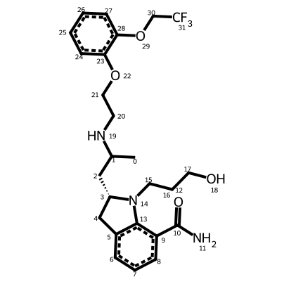 CC(C[C@H]1Cc2cccc(C(N)=O)c2N1CCCO)NCCOc1ccccc1OCC(F)(F)F